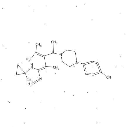 C=N/C(NC1(C)CC1)=C(\C)C(C(=C)N1CCN(c2ccc(C#N)cc2)CC1)=C(C)C